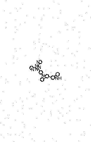 C1=Cc2[nH]c3ccc(-c4ccc5c(c4)c4ccccc4n5-c4ccc(-c5nc(-c6ccccn6)nc(-c6ccccn6)n5)cc4)cc3c2CC1